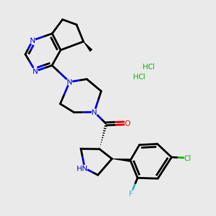 C[C@@H]1CCc2ncnc(N3CCN(C(=O)[C@H]4CNC[C@@H]4c4ccc(Cl)cc4F)CC3)c21.Cl.Cl